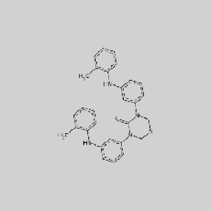 Cc1ccccc1Nc1cccc(N2CSCN(c3cccc(Nc4ccccc4C)c3)C2=S)c1